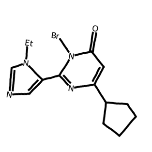 CCn1cncc1-c1nc(C2CCCC2)cc(=O)n1Br